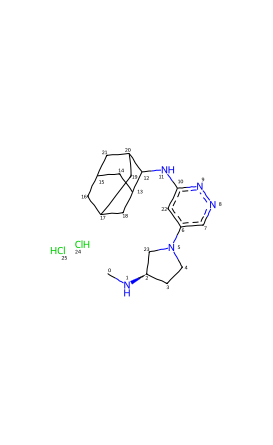 CN[C@@H]1CCN(c2cnnc(NC3C4CC5CC(C4)CC3C5)c2)C1.Cl.Cl